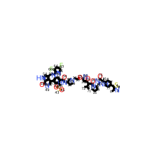 Cc1ncsc1-c1ccc([C@]2(C)NC([C@@H]3CCCN3C(=O)C(c3cc(OCCN4CC[C@H](NC(=O)c5cc6c(cc5CS(C)(=O)=O)-c5cn(C)c(=O)c7[nH]cc(c57)CN6c5ncc(F)cc5F)C4)no3)C(C)C)=NC2=O)cc1